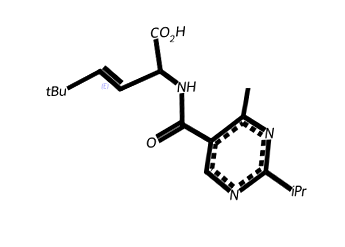 Cc1nc(C(C)C)ncc1C(=O)NC(/C=C/C(C)(C)C)C(=O)O